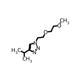 COCCOCCn1cc(C(C)C)nn1